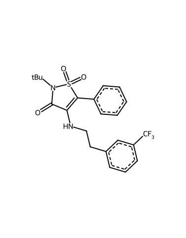 CC(C)(C)N1C(=O)C(NCCc2cccc(C(F)(F)F)c2)=C(c2ccccc2)S1(=O)=O